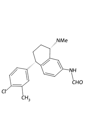 CN[C@H]1CC[C@@H](c2ccc(Cl)c(C)c2)c2ccc(NC=O)cc21